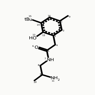 Cc1cc(CC(=O)NCC(C)N)c(O)c(C(C)(C)C)c1